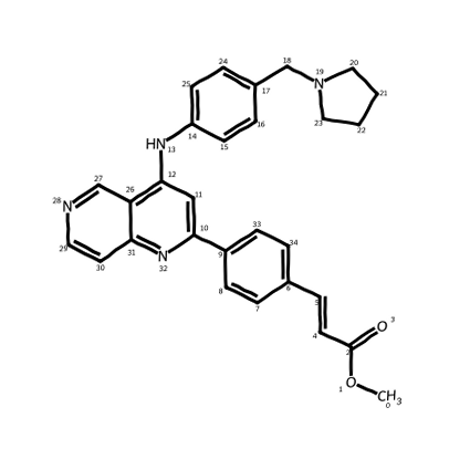 COC(=O)/C=C/c1ccc(-c2cc(Nc3ccc(CN4CCCC4)cc3)c3cnccc3n2)cc1